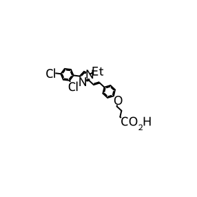 CCn1cc(-c2ccc(Cl)cc2Cl)nc1/C=C/c1ccc(OCCCC(=O)O)cc1